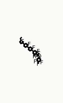 CCc1ccc(-c2ccc(-c3ccc(-c4cc(F)c(C(F)(F)Oc5cc(F)c(F)c(F)c5)c(F)c4)c(F)c3)c(F)c2)s1